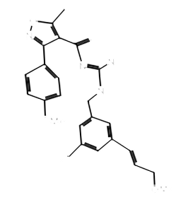 COCC=Cc1cc(Cl)cc(CNC(N)=NC(=O)c2c(-c3ccc(OC)cc3)noc2C)c1